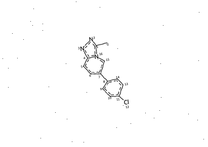 Cc1nnc2ccc(-c3ccc(Cl)cc3)cn12